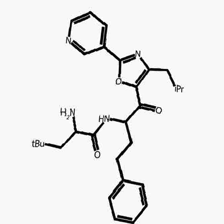 CC(C)Cc1nc(-c2cccnc2)oc1C(=O)C(CCc1ccccc1)NC(=O)C(N)CC(C)(C)C